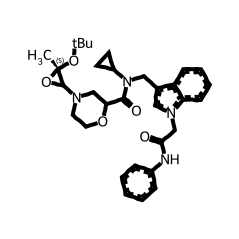 CC(C)(C)O[C@@]1(C)OC1N1CCOC(C(=O)N(Cc2cn(CC(=O)Nc3ccccc3)c3ccccc23)C2CC2)C1